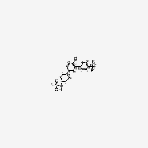 CS(=O)(=O)NC1CCN(c2cc(-c3ccc(C(F)(F)F)cn3)c(Cl)cn2)CC1